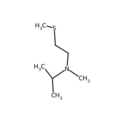 CSCCN(C)C(C)C